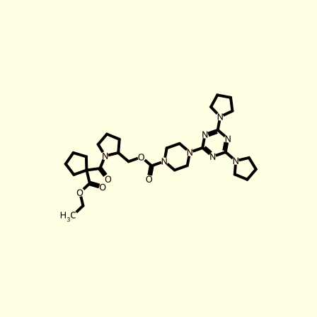 CCOC(=O)C1(C(=O)N2CCCC2COC(=O)N2CCN(c3nc(N4CCCC4)nc(N4CCCC4)n3)CC2)CCCC1